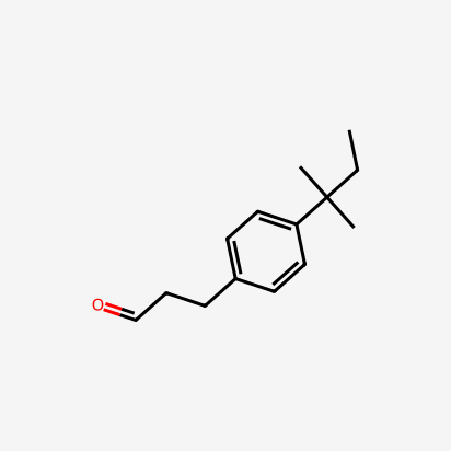 CCC(C)(C)c1ccc(CCC=O)cc1